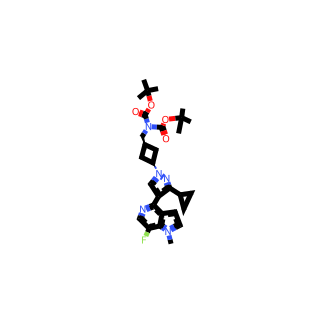 Cn1ccc2c(-c3cn([C@H]4C[C@H](CN(C(=O)OC(C)(C)C)C(=O)OC(C)(C)C)C4)nc3C3CC3)ncc(F)c21